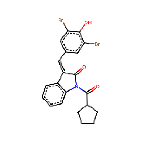 O=C1C(=Cc2cc(Br)c(O)c(Br)c2)c2ccccc2N1C(=O)C1CCCC1